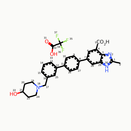 Cc1nc2c(C(=O)O)cc(-c3ccc(-c4cccc(CN5CCC(O)CC5)c4)cc3)cc2[nH]1.O=C(O)C(F)(F)F